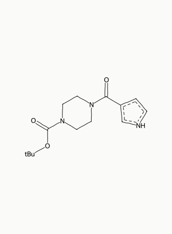 CC(C)(C)OC(=O)N1CCN(C(=O)c2cc[nH]c2)CC1